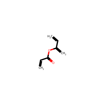 C=CC(=C)OC(=O)C=C